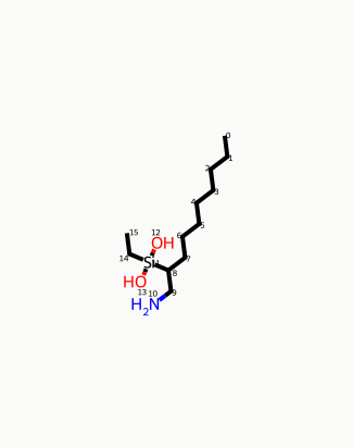 CCCCCCCCC(CN)[Si](O)(O)CC